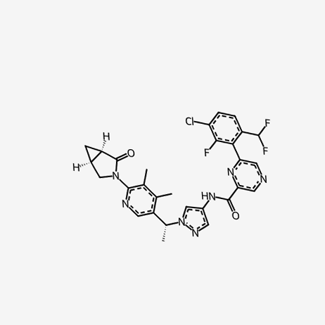 Cc1c([C@@H](C)n2cc(NC(=O)c3cncc(-c4c(C(F)F)ccc(Cl)c4F)n3)cn2)cnc(N2C[C@H]3C[C@H]3C2=O)c1C